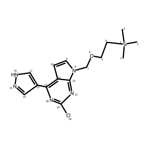 C[Si](C)(C)CCOCn1ccc2c(-c3cn[nH]c3)nc(Cl)nc21